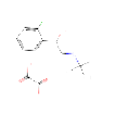 CC(C)(C)NCC(O)c1ccccc1Cl.O=C(O)C(=O)O